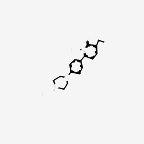 CN1CCN(c2ccc(-c3ccc(CCl)c(=O)n3C)cc2)CC1.Cl